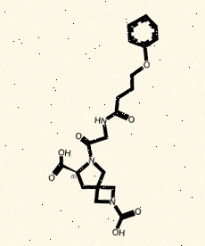 O=C(CCCOc1ccccc1)NCC(=O)N1CC2(C[C@H]1C(=O)O)CN(C(=O)O)C2